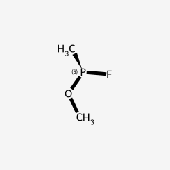 CO[P@@](C)F